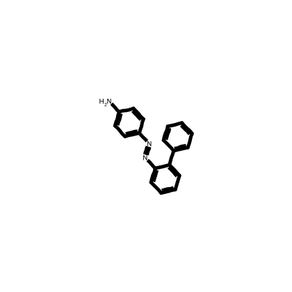 Nc1ccc(N=Nc2ccccc2-c2ccccc2)cc1